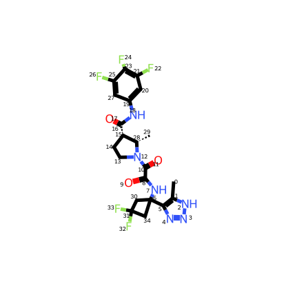 Cc1[nH]nnc1C1(NC(=O)C(=O)N2CC[C@H](C(=O)Nc3cc(F)c(F)c(F)c3)[C@@H]2C)CC(F)(F)C1